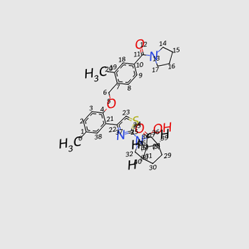 Cc1ccc(OCc2ccc(C(=O)N3CCCC3)cc2C)c(-c2csc(N3C[C@H]4CC[C@@H](C3)[C@H]4C(=O)O)n2)c1